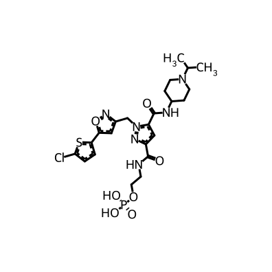 CC(C)N1CCC(NC(=O)c2cc(C(=O)NCCOP(=O)(O)O)nn2Cc2cc(-c3ccc(Cl)s3)on2)CC1